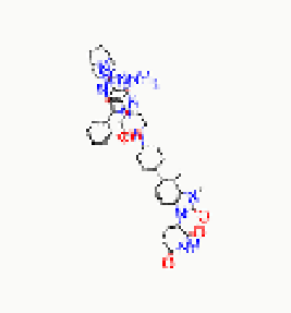 CC1c2c(n(C3CCC(=O)NC3=O)c(=O)n2C)C=CC1[C@H]1CC[C@H](N2CCC(c3cnc(N4C5CCC4CN(c4cc(-c6ccccc6O)nnc4N)C5)nc3)CC2)CC1